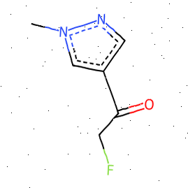 Cn1cc(C(=O)CF)cn1